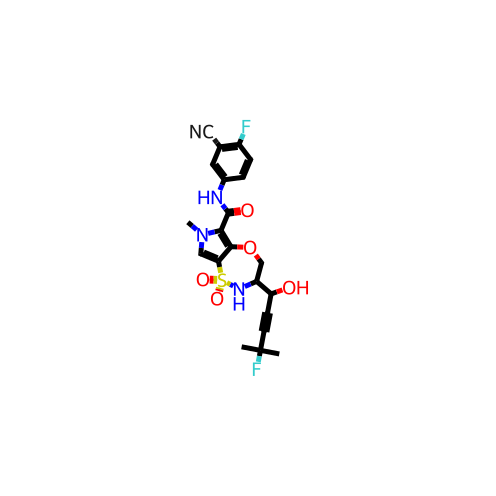 Cn1cc2c(c1C(=O)Nc1ccc(F)c(C#N)c1)OCC(C(O)C#CC(C)(C)F)NS2(=O)=O